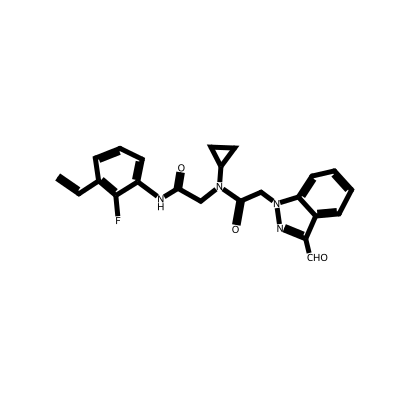 C=Cc1cccc(NC(=O)CN(C(=O)Cn2nc(C=O)c3ccccc32)C2CC2)c1F